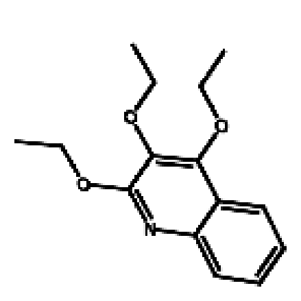 CCOc1nc2ccccc2c(OCC)c1OCC